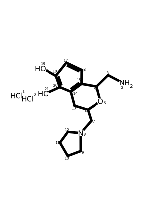 Cl.Cl.NCC1OC(CN2CCCC2)Cc2c1ccc(O)c2O